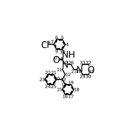 O=C(Nc1cccc(Cl)c1)N(CCC(c1ccccc1)c1ccccc1)CCN1CCOCC1